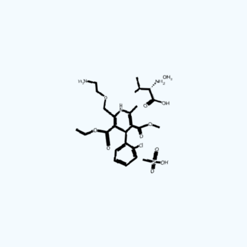 CC(C)[C@H](N)C(=O)O.CCOC(=O)C1=C(COCCN)NC(C)=C(C(=O)OC)C1c1ccccc1Cl.CS(=O)(=O)O.O